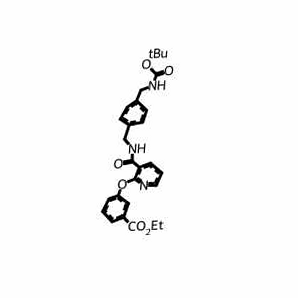 CCOC(=O)c1cccc(Oc2ncccc2C(=O)NCc2ccc(CNC(=O)OC(C)(C)C)cc2)c1